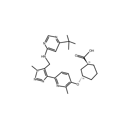 Cc1nc(-c2nnn(C)c2CNc2cc(C(C)(C)C)ncn2)ccc1O[C@H]1CCC[C@H](C(=O)O)C1